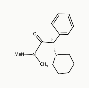 CNN(C)C(=O)[C@H](c1ccccc1)N1CCCCC1